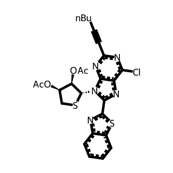 CCCCC#Cc1nc(Cl)c2nc(-c3nc4ccccc4s3)n([C@@H]3SC[C@@H](OC(C)=O)[C@H]3OC(C)=O)c2n1